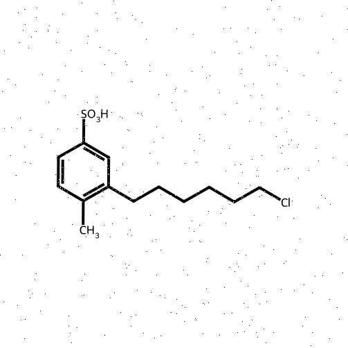 Cc1ccc(S(=O)(=O)O)cc1CCCCCCCl